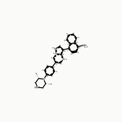 C[C@@H]1CNC[C@H](C)N1c1ccc(-c2cnc3c(-c4c#cc(N)c5ccccc45)cnn3c2)cc1